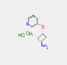 Cl.Cl.N[C@H]1C[C@H](Oc2cccnc2)C1